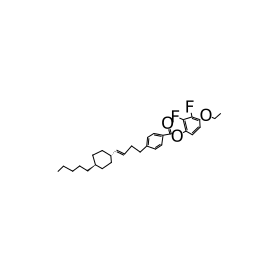 CCCCC[C@H]1CC[C@H](/C=C/CCc2ccc(C(=O)Oc3ccc(OCC)c(F)c3F)cc2)CC1